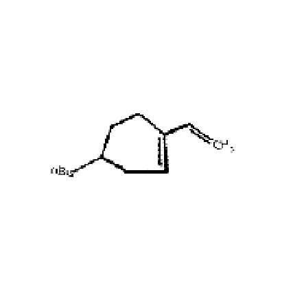 C=CC1=CCC(CCCC)CC1